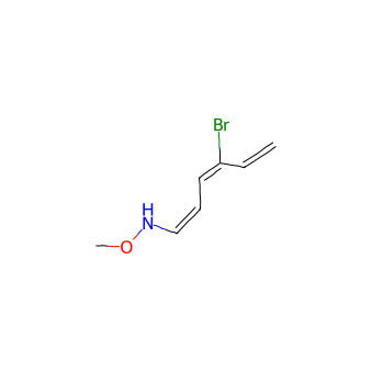 C=C/C(Br)=C\C=C/NOC